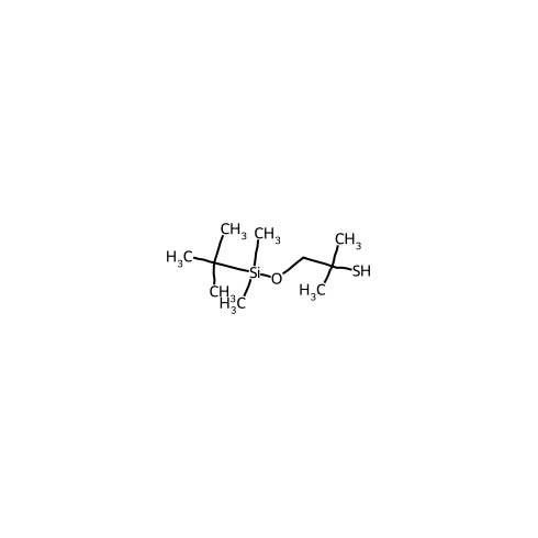 CC(C)(S)CO[Si](C)(C)C(C)(C)C